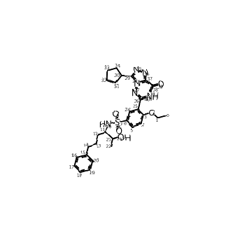 CCOc1ccc(S(=O)(=O)NC(CCCc2ccccc2)C(C)O)cc1-c1nn2c(C3CCCC3)nnc2c(=O)[nH]1